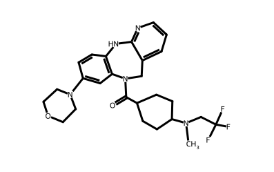 CN(CC(F)(F)F)C1CCC(C(=O)N2Cc3cccnc3Nc3ccc(N4CCOCC4)cc32)CC1